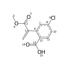 C=C(C(=O)OC)c1cc(Cl)ccc1C(=O)O